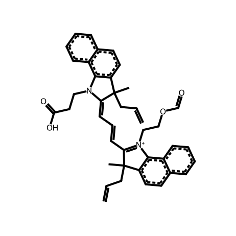 C=CCC1(C)C(/C=C/C=C2/N(CCC(=O)O)c3c(ccc4ccccc34)C2(C)CC=C)=[N+](CCOC=O)c2c1ccc1ccccc21